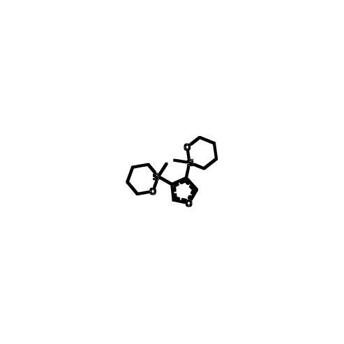 C[Si]1(c2cocc2[Si]2(C)CCCCO2)CCCCO1